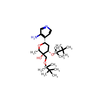 C[C@@H]1O[C@H](c2ccncc2N)C[C@H](O[Si](C)(C)C(C)(C)C)[C@]1(O)CO[Si](C)(C)C(C)(C)C